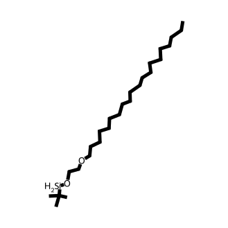 CCCCCCCCCCCCCCCCCCCCOCCO[SiH2]C(C)(C)C